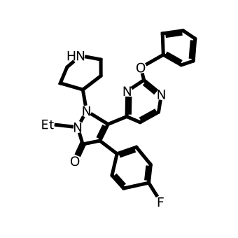 CCn1c(=O)c(-c2ccc(F)cc2)c(-c2ccnc(Oc3ccccc3)n2)n1C1CCNCC1